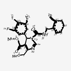 COCC1=C(C(=O)OC)C(c2cc(F)c(F)c(F)c2)N(C(=O)NCc2ccccc2C)C=N1